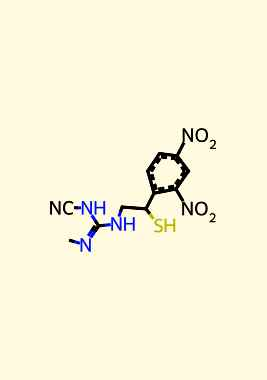 CN=C(NC#N)NCC(S)c1ccc([N+](=O)[O-])cc1[N+](=O)[O-]